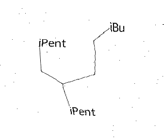 [CH2]CCC(C)C(CCC(C)CC)CC(C)CCC